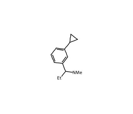 CCC(NC)c1cccc(C2CC2)c1